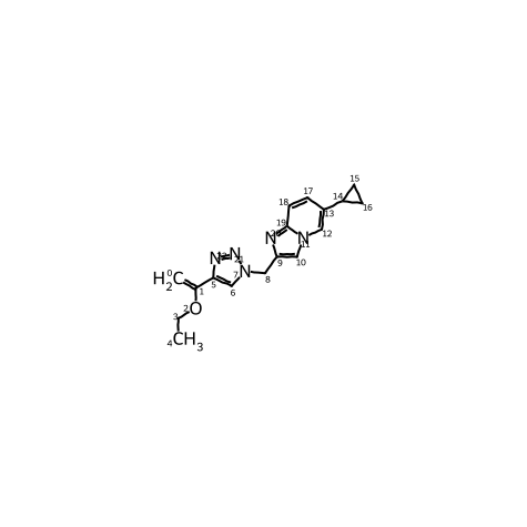 C=C(OCC)c1cn(Cc2cn3cc(C4CC4)ccc3n2)nn1